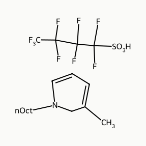 CCCCCCCCN1C=CC=C(C)C1.O=S(=O)(O)C(F)(F)C(F)(F)C(F)(F)C(F)(F)F